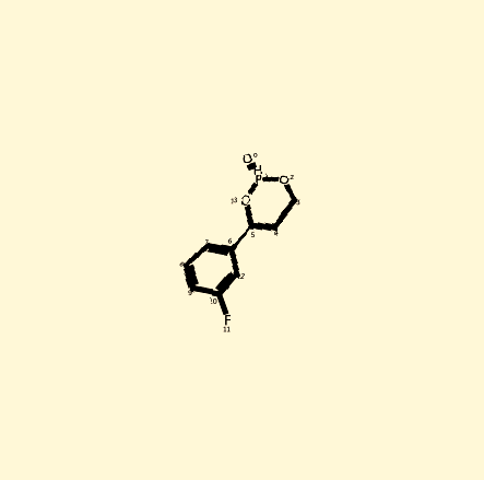 O=[PH]1OCC[C@@H](c2cccc(F)c2)O1